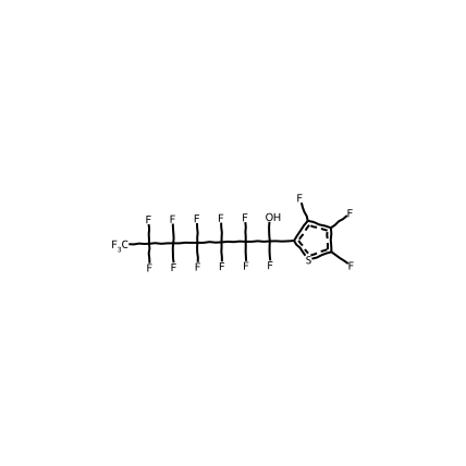 OC(F)(c1sc(F)c(F)c1F)C(F)(F)C(F)(F)C(F)(F)C(F)(F)C(F)(F)C(F)(F)F